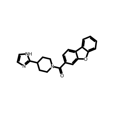 O=C(c1ccc2c(c1)oc1ccccc12)N1CCC(c2ncc[nH]2)CC1